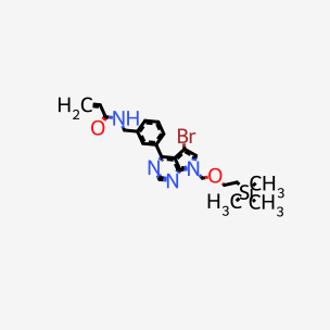 C=CC(=O)NCc1cccc(-c2ncnc3c2c(Br)cn3COCC[Si](C)(C)C)c1